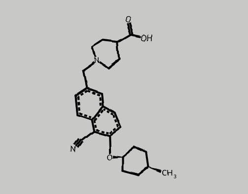 C[C@H]1CC[C@@H](Oc2ccc3cc(CN4CCC(C(=O)O)CC4)ccc3c2C#N)CC1